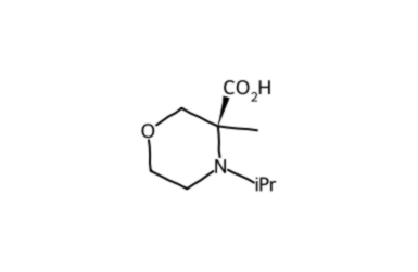 CC(C)N1CCOC[C@@]1(C)C(=O)O